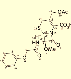 CO[C@]1(NC(=O)COc2ccccc2)C(=O)N2C(C(=O)O)=C(COC(C)=O)CS[C@@H]21